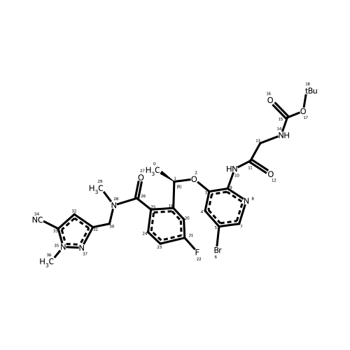 C[C@@H](Oc1cc(Br)cnc1NC(=O)CNC(=O)OC(C)(C)C)c1cc(F)ccc1C(=O)N(C)Cc1cc(C#N)n(C)n1